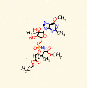 CCOC(=O)COP(=O)(N[C@H](C(=O)OC)C(C)C)OC[C@H]1O[C@@H](n2cnc3c(OC)nc(C)nc32)[C@@](C)(O)C1O